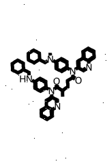 CC(CCC(=O)N(c1ccc(N(C)CC2CCCCC2)cc1)c1cnc2ccccc2c1)C(=O)N(c1ccc(NCC2CCCCC2)cc1)c1cnc2ccccc2c1